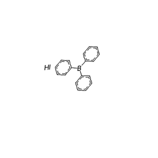 I.c1ccc(B(c2ccccc2)c2ccccc2)cc1